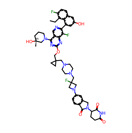 CCc1c(F)ccc2cc(O)cc(-c3ncc4c(N5CCC[C@@](C)(O)C5)nc(OCC5(CN6CCN(CC7(F)CN(c8ccc9c(c8)CN(C8CCC(=O)NC8=O)C9=O)C7)CC6)CC5)nc4c3F)c12